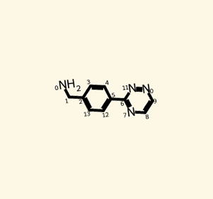 NCc1ccc(-c2nccnn2)cc1